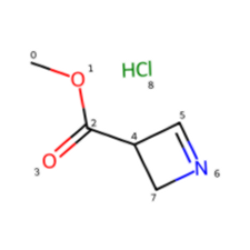 COC(=O)C1C=NC1.Cl